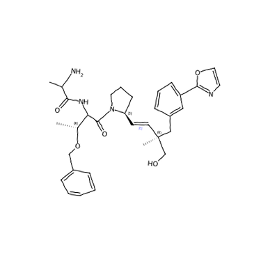 CC(N)C(=O)NC(C(=O)N1CCC[C@H]1/C=C/[C@](C)(CO)Cc1cccc(-c2ncco2)c1)[C@@H](C)OCc1ccccc1